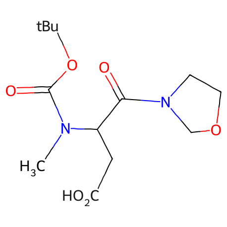 CN(C(=O)OC(C)(C)C)C(CC(=O)O)C(=O)N1CCOC1